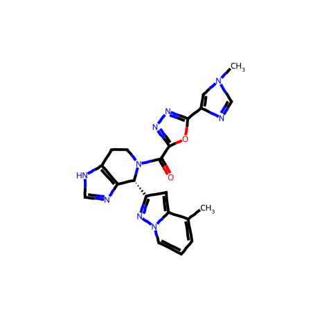 Cc1cccn2nc([C@@H]3c4nc[nH]c4CCN3C(=O)c3nnc(-c4cn(C)cn4)o3)cc12